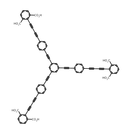 O=C(O)c1cccc(C(=O)O)c1C#CC#Cc1ccc(C#Cc2cc(C#Cc3ccc(C#CC#Cc4c(C(=O)O)cccc4C(=O)O)cc3)cc(C#Cc3ccc(C#CC#Cc4c(C(=O)O)cccc4C(=O)O)cc3)c2)cc1